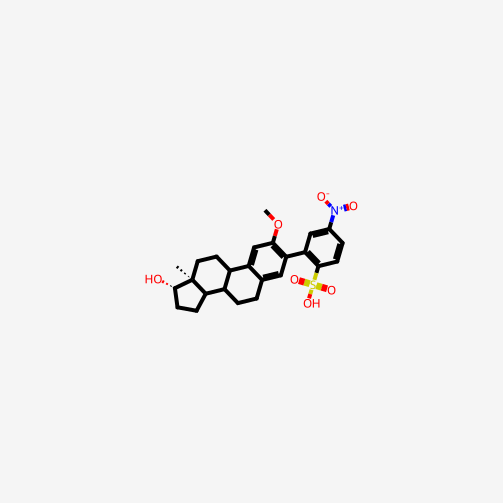 COc1cc2c(cc1-c1cc([N+](=O)[O-])ccc1S(=O)(=O)O)CCC1C2CC[C@@]2(C)C1CC[C@@H]2O